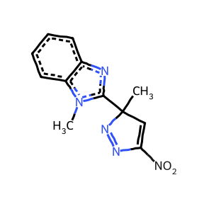 Cn1c(C2(C)C=C([N+](=O)[O-])N=N2)nc2ccccc21